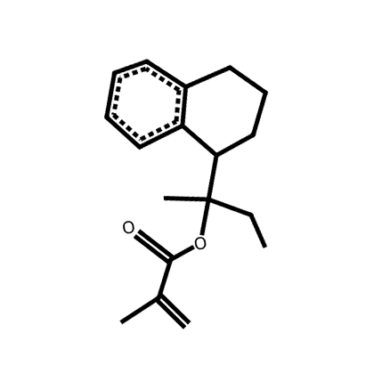 C=C(C)C(=O)OC(C)(CC)C1CCCc2ccccc21